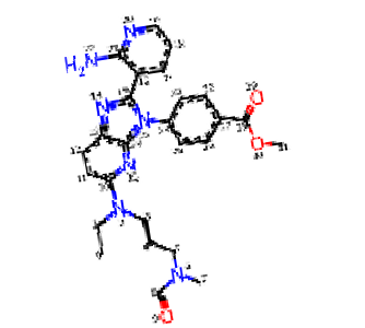 CCN(CCCN(C)C=O)c1ccc2nc(-c3cccnc3N)n(-c3ccc(C(=O)OC)cc3)c2n1